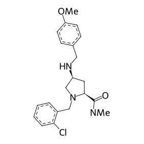 CNC(=O)[C@@H]1C[C@H](NCc2ccc(OC)cc2)CN1Cc1ccccc1Cl